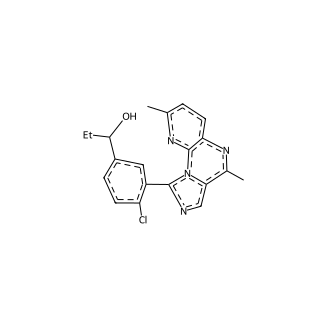 CCC(O)c1ccc(Cl)c(-c2ncc3c(C)nc4ccc(C)nc4n23)c1